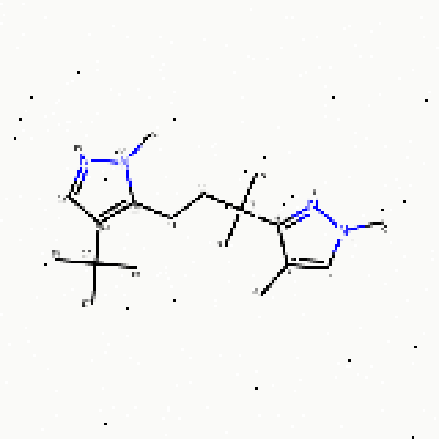 Cc1cn(C)nc1C(C)(C)CCc1c(C(C)(C)C)cnn1C